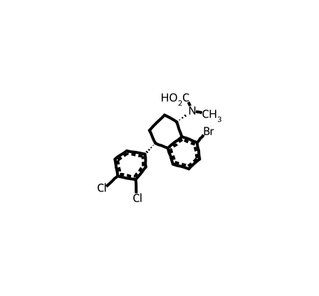 CN(C(=O)O)[C@H]1CC[C@@H](c2ccc(Cl)c(Cl)c2)c2cccc(Br)c21